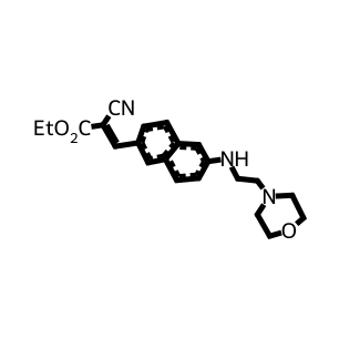 CCOC(=O)C(C#N)=Cc1ccc2cc(NCCN3CCOCC3)ccc2c1